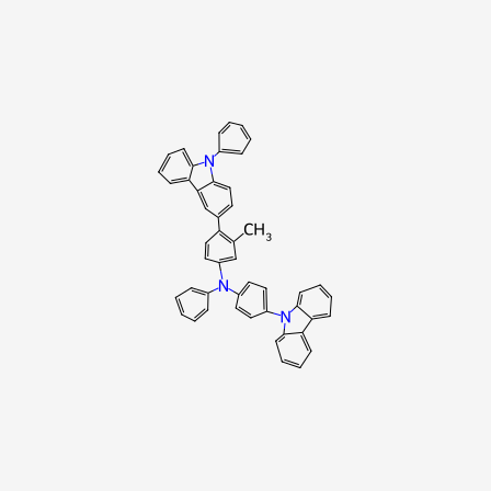 Cc1cc(N(c2ccccc2)c2ccc(-n3c4ccccc4c4ccccc43)cc2)ccc1-c1ccc2c(c1)c1ccccc1n2-c1ccccc1